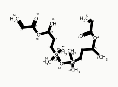 C=CC(=O)OC(C)CC[Si](C)(C)O[Si](C)(C)CCC(C)OC(=O)C=C